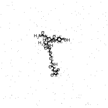 CC(C)[C@H](NC(=O)CCOCCOCCNC(=O)CCN1C(=O)C=CC1=O)C(=O)N[C@@H](CCCNC(N)=O)C(=O)Nc1ccc(CO)cc1